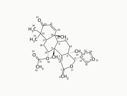 C=C1C=C2[C@@]3(C)C(CC[C@@]2(C)[C@H](c2ccoc2)O1)[C@@]1(C)C=CC(=O)C(C)(C)C1C[C@H]3OC(C)=O